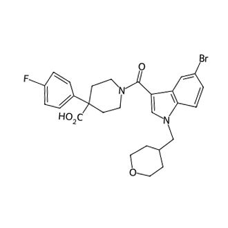 O=C(c1cn(CC2CCOCC2)c2ccc(Br)cc12)N1CCC(C(=O)O)(c2ccc(F)cc2)CC1